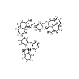 c1ccc(-n2c(-c3ccc(-c4ccc5ccc6ccc(-c7ccc(-c8ccc9ccc%10cccc%11ccc8c9c%10%11)cc7)nc6c5n4)cc3)nc3ccccc32)cc1